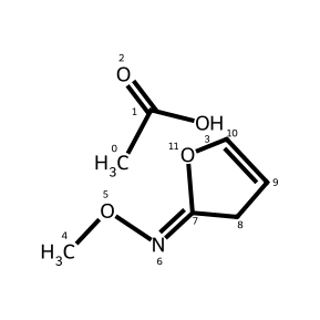 CC(=O)O.CON=C1CC=CO1